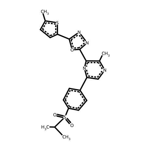 Cc1ccc(-c2nnc(-c3nc(-c4ccc(S(=O)(=O)C(C)C)cc4)cnc3C)o2)s1